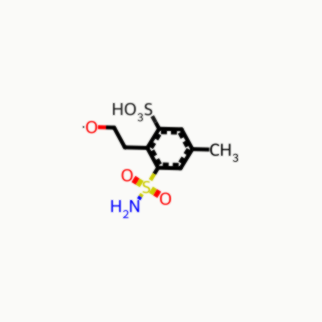 Cc1cc(S(N)(=O)=O)c(CC[O])c(S(=O)(=O)O)c1